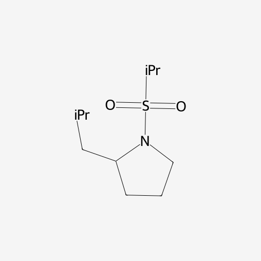 CC(C)CC1CCCN1S(=O)(=O)C(C)C